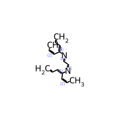 C=C/C=C(\C=C/C)/N=C\C=N\C(\C=C/C)=C\C=C